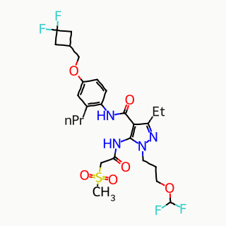 CCCc1cc(OCC2CC(F)(F)C2)ccc1NC(=O)c1c(CC)nn(CCCOC(F)F)c1NC(=O)CS(C)(=O)=O